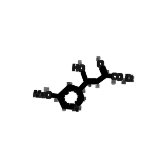 CCOC(=O)C(=O)C=C(O)c1cncc(OC)c1